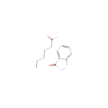 CCCCCC(=O)O.O=c1[nH]sc2ccccc12